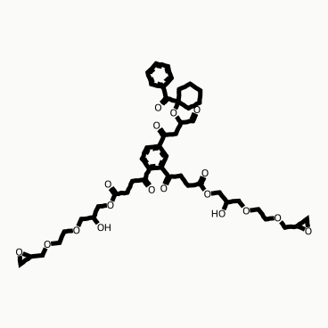 O=CC(CC(=O)c1ccc(C(=O)CCC(=O)OCC(O)COCCOCC2CO2)c(C(=O)CCC(=O)OCC(O)COCCOCC2CO2)c1)OC1(C(=O)c2ccccc2)CCCCC1